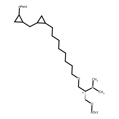 CCCCCCCCOC[C@H](COCCCCCCCCC1CC1CC1CC1CCCCC)N(C)C